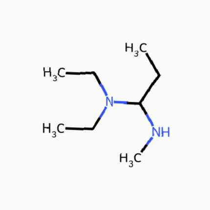 CCC(NC)N(CC)CC